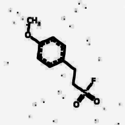 COc1ccc(CCS(=O)(=O)F)cc1